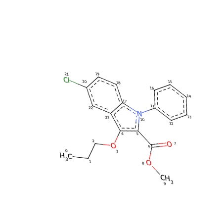 CCCOc1c(C(=O)OC)n(-c2ccccc2)c2ccc(Cl)cc12